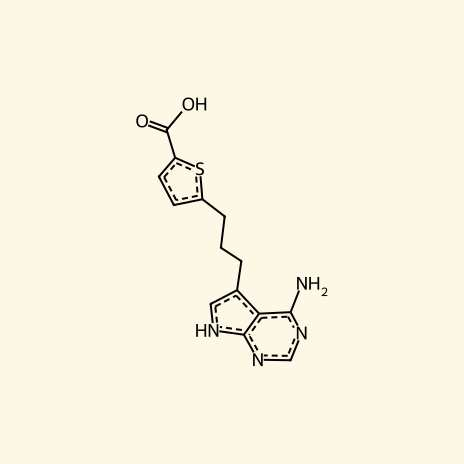 Nc1ncnc2[nH]cc(CCCc3ccc(C(=O)O)s3)c12